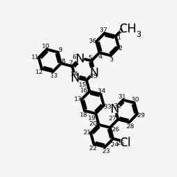 Cc1ccc(-c2nc(-c3ccccc3)nc(-c3ccc(-c4cccc(Cl)c4-c4ccccn4)cc3)n2)cc1